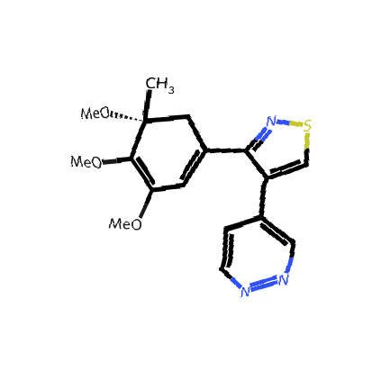 COC1=C(OC)[C@](C)(OC)CC(c2nscc2-c2ccnnc2)=C1